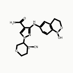 N#C[C@H]1CCOCC1n1cc(C(N)=O)c(Nc2ccc3c(c2)CCOB3O)n1